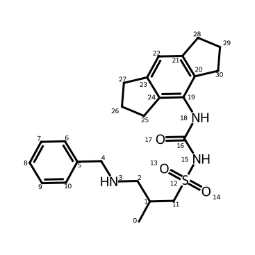 CC(CNCc1ccccc1)CS(=O)(=O)NC(=O)Nc1c2c(cc3c1CCC3)CCC2